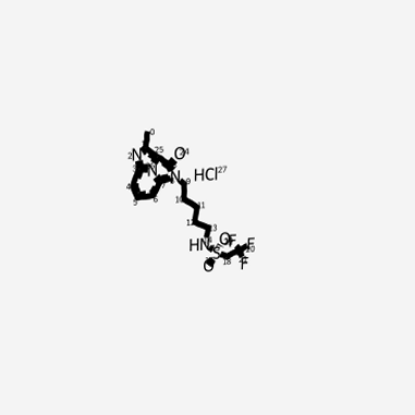 Cc1nc2cccc3n(CCCCCNS(=O)(=O)CC(F)(F)F)c(=O)c1n23.Cl